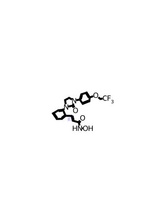 O=C(/C=C/c1ccccc1N1CCN(c2ccc(OCC(F)(F)F)cc2)C1=O)NO